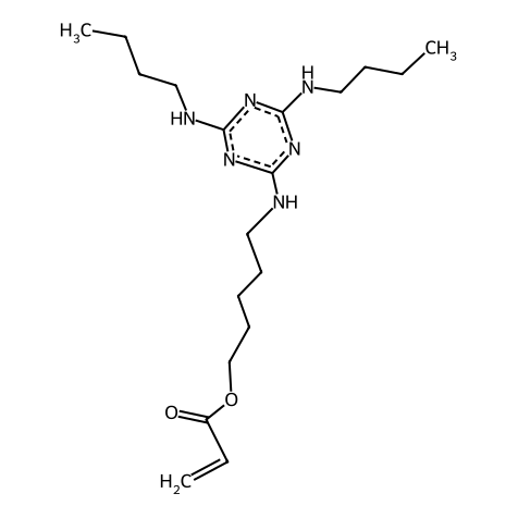 C=CC(=O)OCCCCCNc1nc(NCCCC)nc(NCCCC)n1